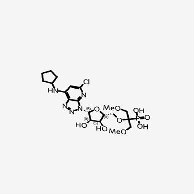 COCC(COC)(OC[C@H]1O[C@@H](n2nnc3c(NC4CCCC4)cc(Cl)nc32)[C@H](O)[C@@H]1O)P(=O)(O)O